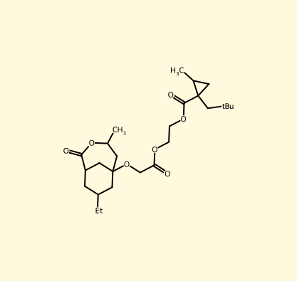 CCC1CC2CC(OCC(=O)OCCOC(=O)C3(CC(C)(C)C)CC3C)(C1)CC(C)OC2=O